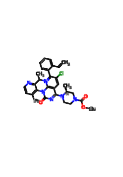 C=Cc1ccccc1-c1c(Cl)cc2c(N3CCN(C(=O)OC(C)(C)C)C[C@@H]3C)nc(=O)n3c2[n+]1C(C)c1nccc(C(C)C)c1-3